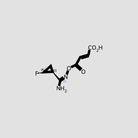 N/C(=N/OC(=O)C=CC(=O)O)[C@@H]1C[C@H]1F